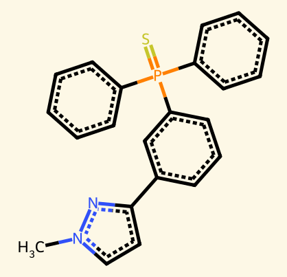 Cn1ccc(-c2cccc(P(=S)(c3ccccc3)c3ccccc3)c2)n1